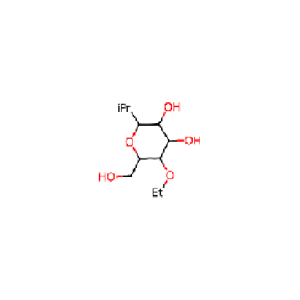 CCOC1C(CO)OC(C(C)C)C(O)C1O